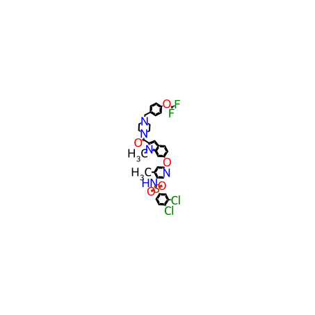 Cc1cc(Oc2ccc3cc(C(=O)N4CCN(Cc5ccc(OC(F)F)cc5)CC4)n(C)c3c2)ncc1NS(=O)(=O)c1ccc(Cl)c(Cl)c1